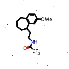 COc1ccc2c(c1)C(CCNC(=O)C(F)(F)F)CCCC2